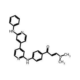 CN(C)C=CC(=O)c1ccc(Nc2cc(-c3ccnc(Nc4ccccc4)c3)ccn2)cc1